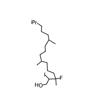 CC(C)CCCC(C)CCCC(C)CCCC(C)(F)C(I)CO